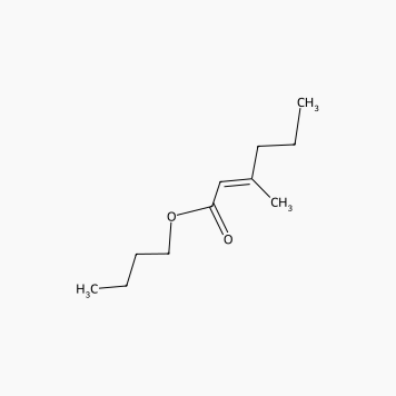 CCCCOC(=O)/C=C(\C)CCC